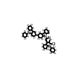 O=c1c2cnc(-n3c4ccccc4c4cc(-c5ccc6c(c5)c5ccccc5n6-c5ccccc5)ccc43)cc2c2ccccc2n1-c1ccccc1